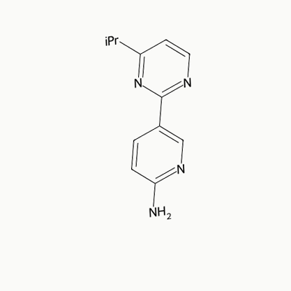 CC(C)c1ccnc(-c2ccc(N)nc2)n1